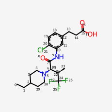 CCC1CCN([C@@H](C(=O)Nc2cc(CCC(=O)O)ccc2Cl)[C@@H](C)C(F)(F)F)CC1